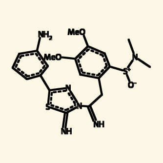 COc1cc(CC(=N)n2nc(-c3cccc(N)c3)sc2=N)c([S+]([O-])N(C)C)cc1OC